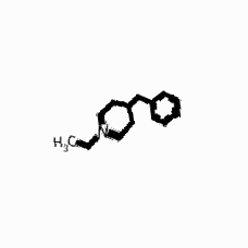 C[CH]N1CCC(Cc2ccccc2)CC1